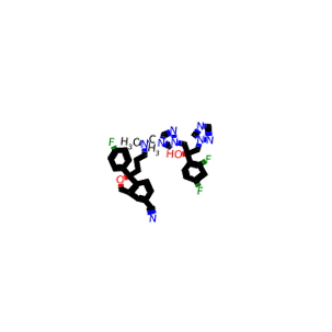 CN(C)CCCC1(c2ccc(F)cc2)OCc2cc(C#N)ccc21.OC(Cn1cncn1)(Cn1cncn1)c1ccc(F)cc1F